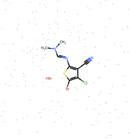 Br.CN(C)/C=N/c1sc(Br)c(Cl)c1C#N